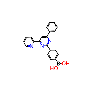 OB(O)c1ccc(-c2nc(-c3ccccc3)cc(-c3ccccn3)n2)cc1